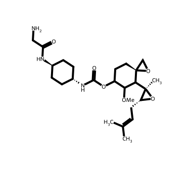 COC1C(OC(=O)N[C@H]2CC[C@H](NC(=O)CN)CC2)CC[C@]2(CO2)C1[C@@]1(C)O[C@@H]1CC=C(C)C